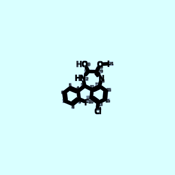 OC1NC(c2ccccc2F)c2cc(Cl)ccc2N=C1OI